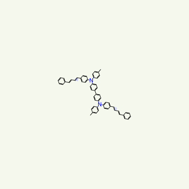 Cc1ccc(N(c2ccc(/C=C/C=Cc3ccccc3)cc2)c2ccc(-c3ccc(N(c4ccc(C)cc4)c4ccc(/C=C/C=Cc5ccccc5)cc4)cc3)cc2)cc1